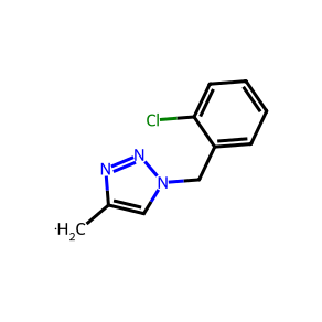 [CH2]c1cn(Cc2ccccc2Cl)nn1